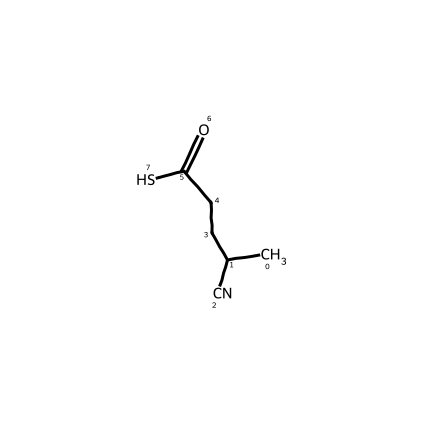 CC(C#N)CCC(=O)S